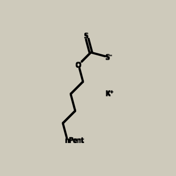 CCCCCCCCCOC(=S)[S-].[K+]